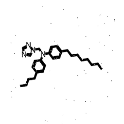 CCCCCCCCc1ccc(N(Cn2cncn2)c2ccc(CCCC)cc2)cc1